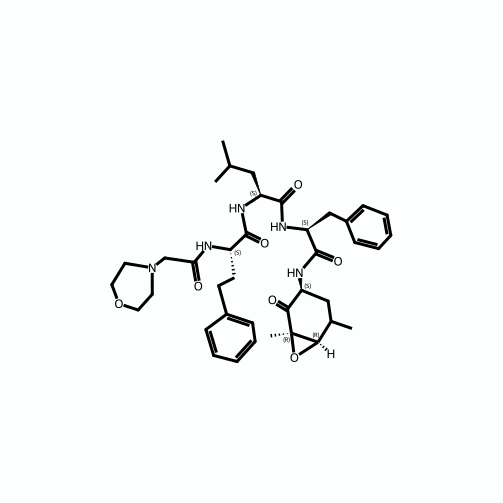 CC(C)C[C@H](NC(=O)[C@H](CCc1ccccc1)NC(=O)CN1CCOCC1)C(=O)N[C@@H](Cc1ccccc1)C(=O)N[C@H]1CC(C)[C@H]2O[C@@]2(C)C1=O